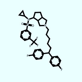 O=S(=O)(c1cccc(C(F)(F)F)c1)N(C1CC1)C1CCC2CN(CCCCCC(c3ccc(F)cc3)c3ccc(F)cc3)CC21